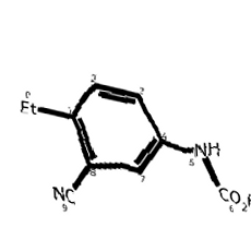 CCc1ccc(NC(=O)O)cc1C#N